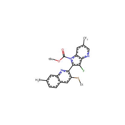 Bc1ccc2cc(SCC)c(-c3c(F)c4ncc(C(F)(F)F)cc4n3C(=O)OC(C)(C)C)nc2c1